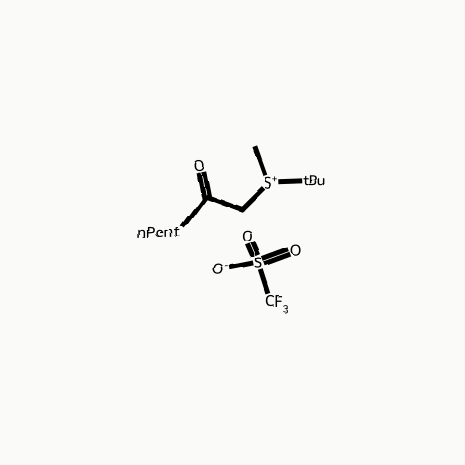 CCCCCC(=O)C[S+](C)C(C)(C)C.O=S(=O)([O-])C(F)(F)F